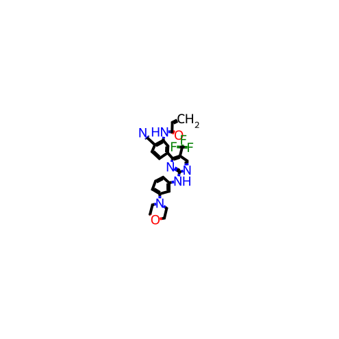 C=CC(=O)Nc1cc(-c2nc(Nc3cccc(N4CCOCC4)c3)ncc2C(F)(F)F)ccc1C#N